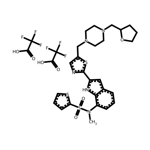 CN(c1cccc2cc(-c3ncc(CN4CCN(CC5CCCO5)CC4)s3)[nH]c12)S(=O)(=O)c1cccs1.O=C(O)C(F)(F)F.O=C(O)C(F)(F)F